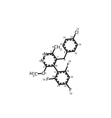 COc1nnc(C)c(Cc2ccc(Cl)cc2)c1-c1c(F)cc(F)cc1F